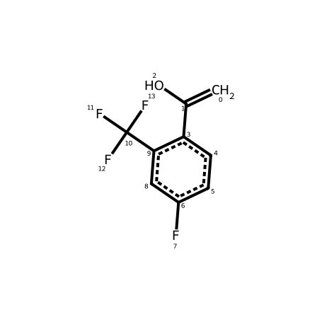 C=C(O)c1ccc(F)cc1C(F)(F)F